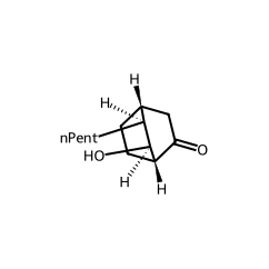 CCCCC[C@H]1[C@@H]2CC[C@@H](C(=O)C2)[C@H]1O